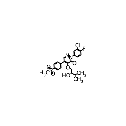 CC(C)[C@H](O)COc1c(-c2ccc(S(C)(=O)=O)cc2)cnn(-c2ccc(F)c(Cl)c2)c1=O